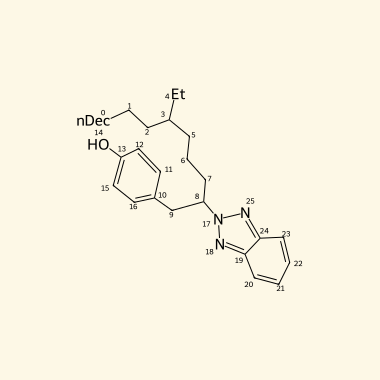 CCCCCCCCCCCCC(CC)CCCC(Cc1ccc(O)cc1)n1nc2ccccc2n1